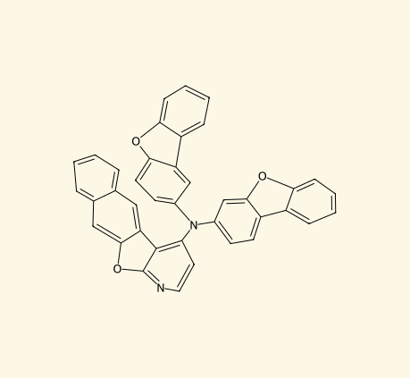 c1ccc2cc3c(cc2c1)oc1nccc(N(c2ccc4c(c2)oc2ccccc24)c2ccc4oc5ccccc5c4c2)c13